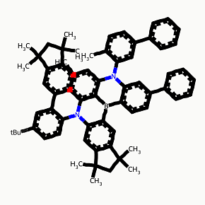 Cc1cc2c3c(c1)N(c1ccc(C(C)(C)C)cc1-c1ccc4c(c1)C(C)(C)CC4(C)C)c1cc4c(cc1B3c1ccc(-c3ccccc3)cc1N2c1cc(-c2ccccc2)ccc1C)C(C)(C)CC4(C)C